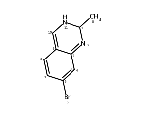 CC1N=c2cc(Br)ccc2=CN1